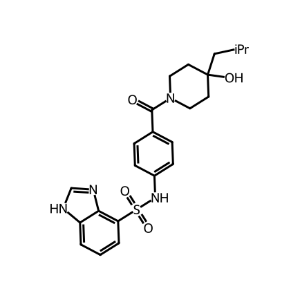 CC(C)CC1(O)CCN(C(=O)c2ccc(NS(=O)(=O)c3cccc4[nH]cnc34)cc2)CC1